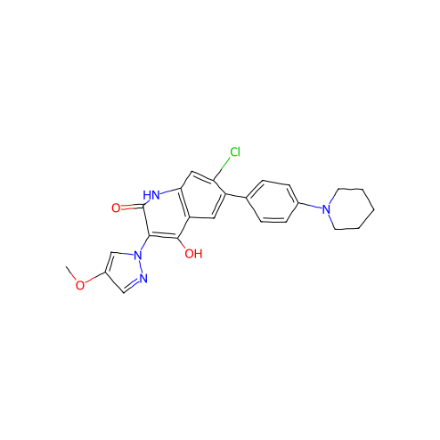 COc1cnn(-c2c(O)c3cc(-c4ccc(N5CCCCC5)cc4)c(Cl)cc3[nH]c2=O)c1